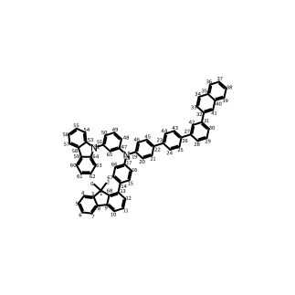 CC1(C)c2ccccc2-c2cccc(-c3ccc(N(c4ccc(-c5ccc(-c6cccc(-c7ccc8ccccc8c7)c6)cc5)cc4)c4cccc(-n5c6ccccc6c6ccccc65)c4)cc3)c21